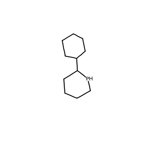 C1CCC(C2CCCCP2)CC1